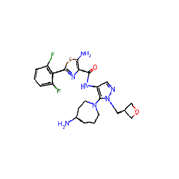 Nc1sc(-c2c(F)cccc2F)nc1C(=O)Nc1cnn(CC2COC2)c1N1CCCC(N)CC1